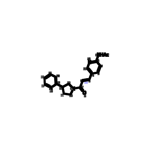 CC(=O)Nc1ccc(/C=C/C(=O)N2CCC(c3ccccn3)C2)cn1